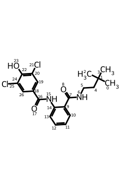 CC(C)(C)CCNC(=O)c1ccccc1NC(=O)c1cc(Cl)c(O)c(Cl)c1